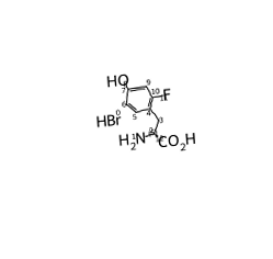 Br.N[C@@H](Cc1ccc(O)cc1F)C(=O)O